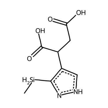 C[SiH2]c1n[nH]cc1C(CC(=O)O)C(=O)O